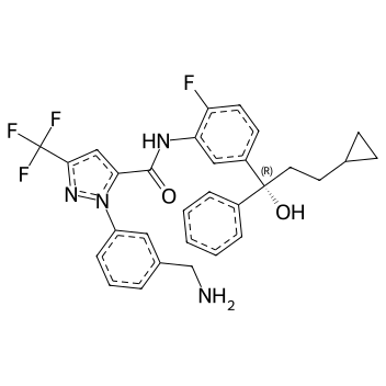 NCc1cccc(-n2nc(C(F)(F)F)cc2C(=O)Nc2cc([C@@](O)(CCC3CC3)c3ccccc3)ccc2F)c1